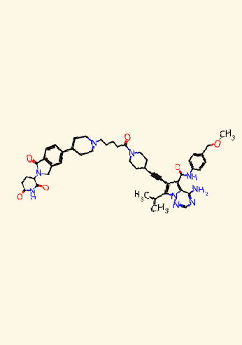 COCc1ccc(NC(=O)c2c(C#CC3CCN(C(=O)CCCCN4CCC(c5ccc6c(c5)CN(C5CCC(=O)NC5=O)C6=O)CC4)CC3)c(C(C)C)n3ncnc(N)c23)cc1